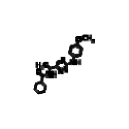 COc1ccc(Nc2ncc(C(C)NC(=O)C3CCCCC3)nn2)cc1